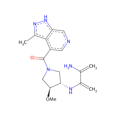 C=C(N)C(=C)N[C@H]1CN(C(=O)c2cncc3[nH]nc(C)c23)C[C@@H]1OC